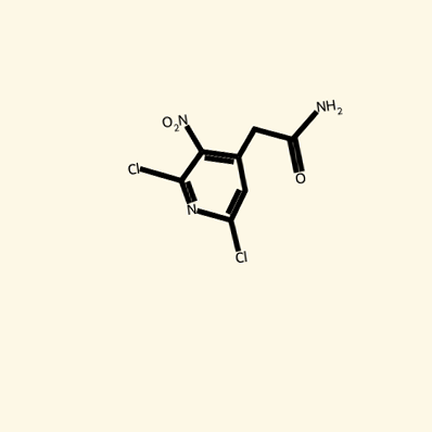 NC(=O)Cc1cc(Cl)nc(Cl)c1[N+](=O)[O-]